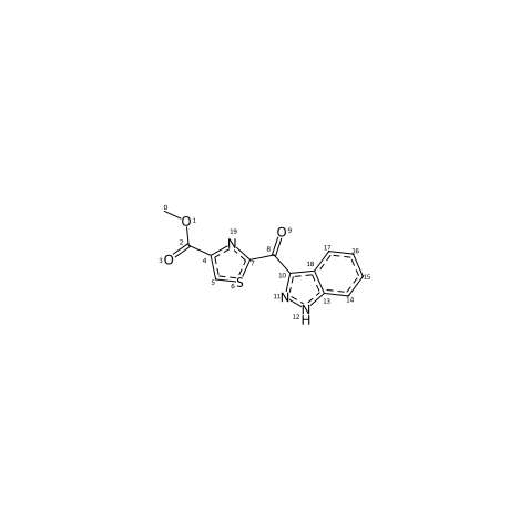 COC(=O)c1csc(C(=O)c2n[nH]c3ccccc23)n1